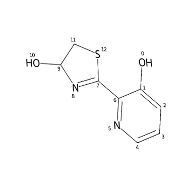 Oc1cccnc1C1=NC(O)CS1